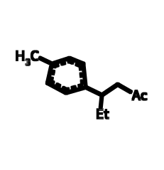 CCC(CC(C)=O)c1ccc(C)cc1